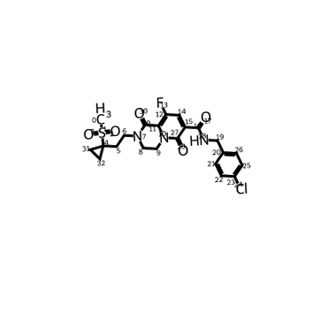 CS(=O)(=O)C1(CCN2CCn3c(c(F)cc(C(=O)NCc4ccc(Cl)cc4)c3=O)C2=O)CC1